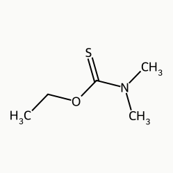 CCOC(=S)N(C)C